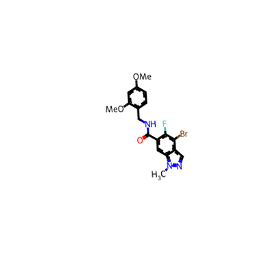 COc1ccc(CNC(=O)c2cc3c(cnn3C)c(Br)c2F)c(OC)c1